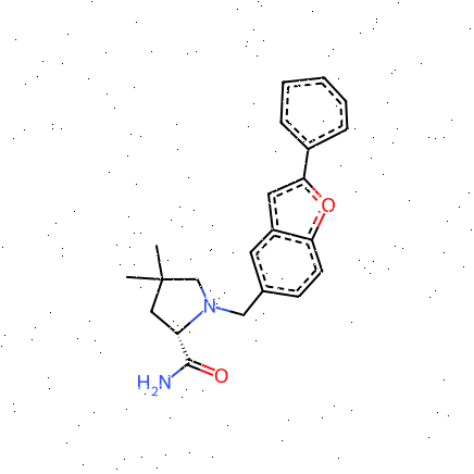 CC1(C)C[C@@H](C(N)=O)N(Cc2ccc3oc(-c4ccccc4)cc3c2)C1